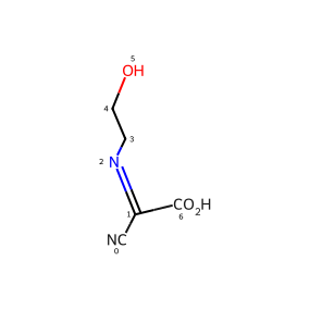 N#CC(=NCCO)C(=O)O